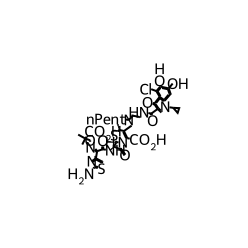 CCCCCN(CCNC(=O)c1cn(C2CC2)c2cc(O)c(O)c(Cl)c2c1=O)CC1=C(C(=O)O)N2C(=O)[C@@H](NC(=O)/C(=N\OC(C)(C)C(=O)O)c3csc(N)n3)[C@H]2S[C@H]1C